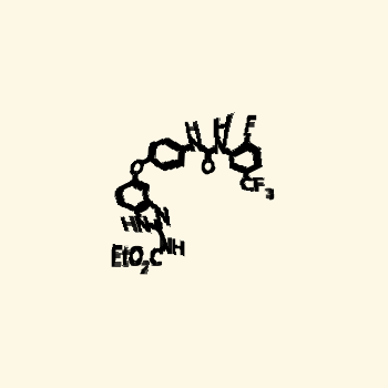 CCOC(=O)Nc1nc2cc(Oc3ccc(NC(=O)Nc4cc(C(F)(F)F)ccc4F)cc3)ccc2[nH]1